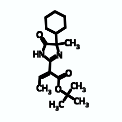 C/C=C(\C(=O)OC(C)(C)C)C1=NC(C)(C2CCCCC2)C(=O)N1